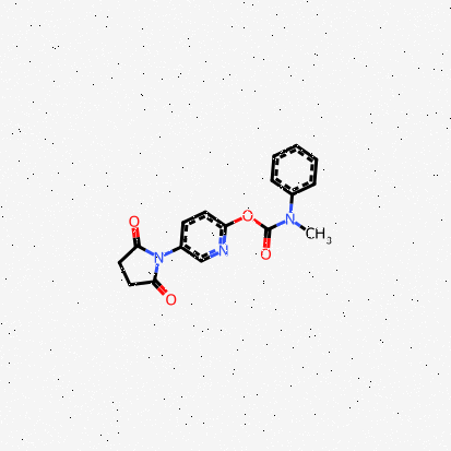 CN(C(=O)Oc1ccc(N2C(=O)CCC2=O)cn1)c1ccccc1